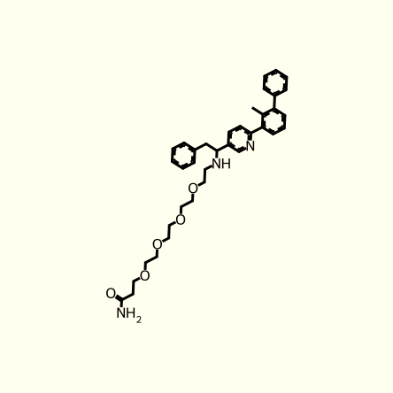 Cc1c(-c2ccccc2)cccc1-c1ccc(C(Cc2ccccc2)NCCOCCOCCOCCOCCC(N)=O)cn1